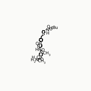 C[C@@H]1CN(C(=O)C(C)(C)N)CCN1C(=O)Nc1ccn(-c2ccc(CCN3CC[C@H](CNC(=O)OC(C)(C)C)C3)cc2)c(=O)n1